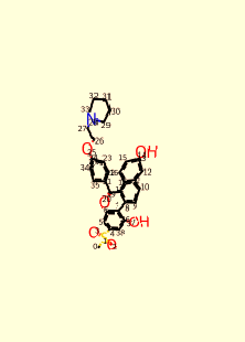 CS(=O)(=O)c1ccc(-c2ccc3cc(O)ccc3c2C(=O)c2ccc(OCCN3CCCCC3)cc2)c(O)c1